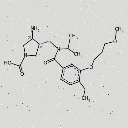 CCc1ccc(C(=O)N(C[C@@H]2CN(C(=O)O)C[C@H]2N)C(C)C)cc1OCCCOC